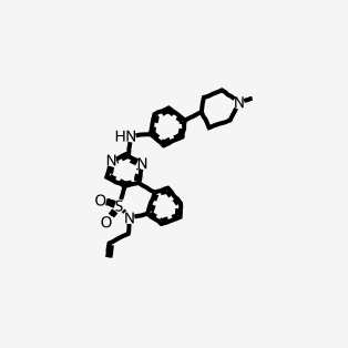 C=CCN1c2ccccc2-c2nc(Nc3ccc(C4CCN(C)CC4)cc3)ncc2S1(=O)=O